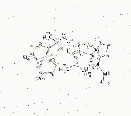 CNC(=O)[C@@H]1CCC[N+]1(C)C(=O)C1=C(C(C)C)N2C(=N[C@@](C)(c3ccc(Cl)cc3)[C@H]2c2ccc(Cl)cc2)S1